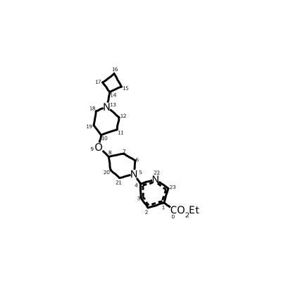 CCOC(=O)c1ccc(N2CCC(OC3CCN(C4CCC4)CC3)CC2)nc1